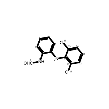 O=CNc1ccccc1[N]c1c(Cl)cccc1Cl